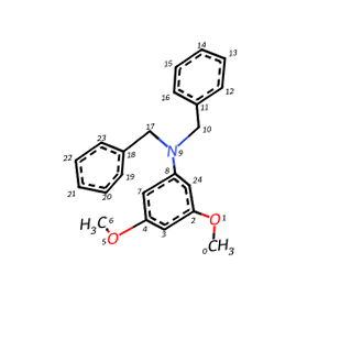 COc1cc(OC)cc(N(Cc2ccccc2)Cc2ccccc2)c1